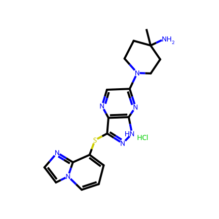 CC1(N)CCN(c2cnc3c(Sc4cccn5ccnc45)n[nH]c3n2)CC1.Cl